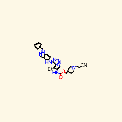 CCc1c(NC(=O)OCC2CCN(CCC#N)CC2)cn2ncnc(Nc3ccc4c(cnn4Cc4ccccc4)c3)c12